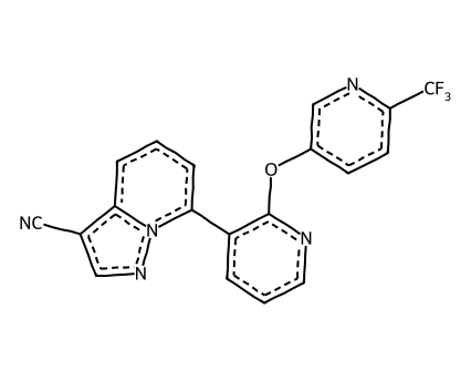 N#Cc1cnn2c(-c3cccnc3Oc3ccc(C(F)(F)F)nc3)cccc12